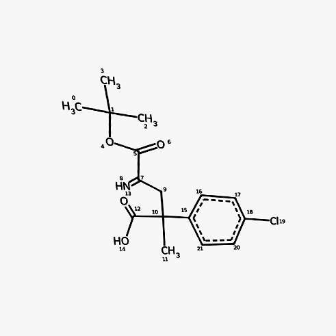 CC(C)(C)OC(=O)C(=N)CC(C)(C(=O)O)c1ccc(Cl)cc1